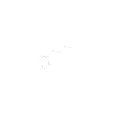 CCCCc1[c]snn1